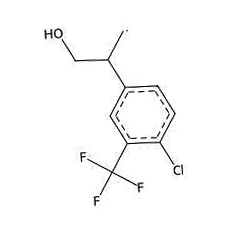 [CH2]C(CO)c1ccc(Cl)c(C(F)(F)F)c1